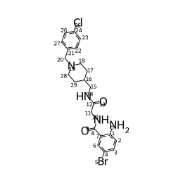 Nc1ccc(Br)cc1C(=O)NCC(=O)NCC1CCN(Cc2ccc(Cl)cc2)CC1